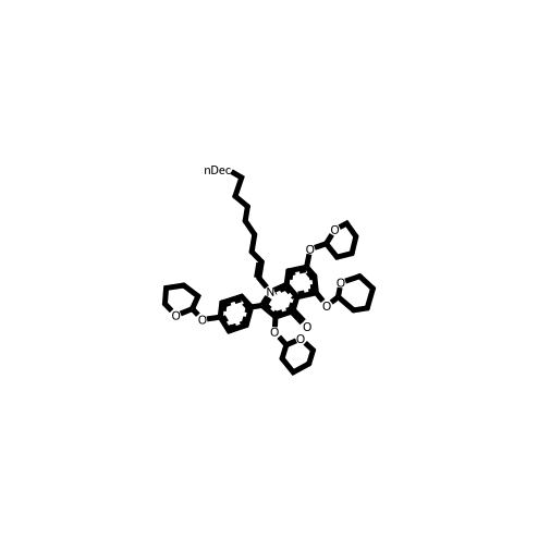 CCCCCCCCCCCCCCCCC=Cn1c(-c2ccc(OC3CCCCO3)cc2)c(OC2CCCCO2)c(=O)c2c(OC3CCCCO3)cc(OC3CCCCO3)cc21